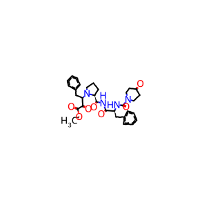 COC(=O)C(=O)C(Cc1ccccc1)N1CCC[C@H]1C(=O)NC(=O)[C@H](Cc1ccccc1)NC(=O)N1CCC(=O)CC1